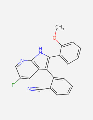 COc1ccccc1-c1[nH]c2ncc(F)cc2c1-c1ccccc1C#N